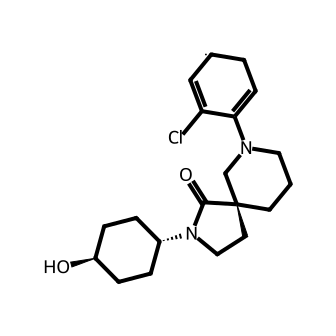 O=C1N([C@H]2CC[C@H](O)CC2)CC[C@@]12CCCN(C1=CC[CH]C=C1Cl)C2